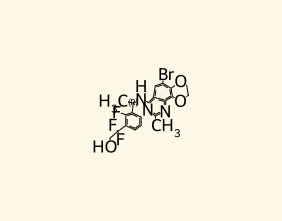 Cc1nc(N[C@H](C)c2cccc(C(F)(F)CO)c2F)c2cc(Br)c3c(c2n1)OCCO3